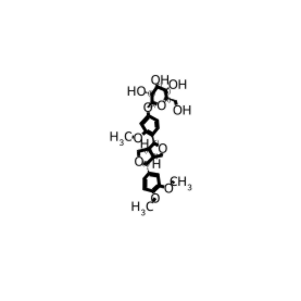 COc1ccc([C@@H]2OC[C@H]3[C@@H]2CO[C@@H]3c2ccc(O[C@@H]3O[C@H](CO)[C@@H](O)[C@H](O)[C@H]3O)cc2OC)cc1OC